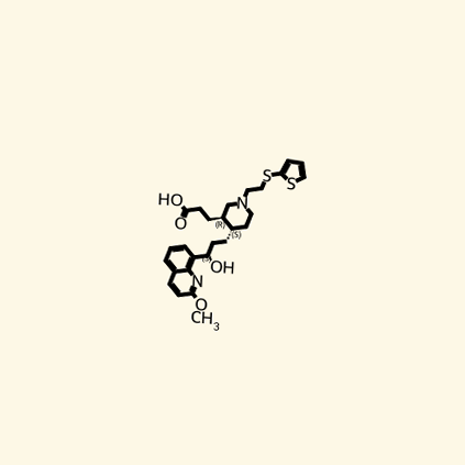 COc1ccc2cccc([C@@H](O)CC[C@H]3CCN(CCSc4cccs4)C[C@@H]3CCC(=O)O)c2n1